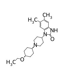 CCO[C@H]1CC[C@@H](N2CCC(n3c(=O)[nH]c4cc(C)c(C)cc43)CC2)CC1